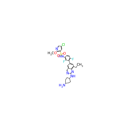 CCc1cc(-c2c(F)ccc(NS(=O)(=O)c3cc(Cl)cnc3OC)c2F)cc2cnc(NC3CCC(N)CC3)nc12